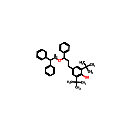 CC(C)(C)c1cc(CCC(O[SiH2]C(c2ccccc2)c2ccccc2)c2ccccc2)cc(C(C)(C)C)c1O